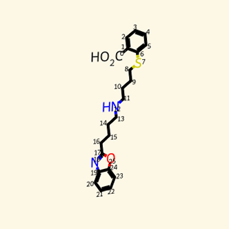 O=C(O)c1ccccc1SCCCCNCCCCc1nc2ccccc2o1